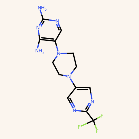 Nc1ncc(N2CCN(c3cnc(C(F)(F)F)nc3)CC2)c(N)n1